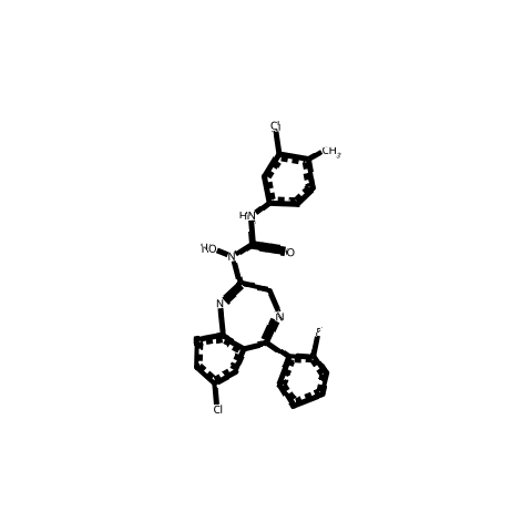 Cc1ccc(NC(=O)N(O)C2=Nc3ccc(Cl)cc3C(c3ccccc3F)=NC2)cc1Cl